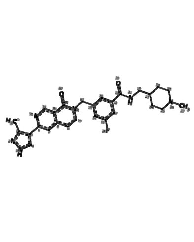 Cc1n[nH]cc1-c1cc2ccn(Cc3cc(F)cc(C(=O)NCC4CCN(C)CC4)c3)c(=O)c2cn1